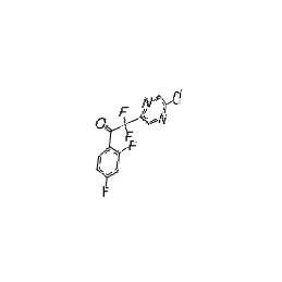 O=C(c1ccc(F)cc1F)C(F)(F)c1cnc(Cl)cn1